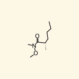 CCCC[C@H](C)C(=O)N(C)OC